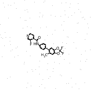 Cc1cc2c(cc1-c1ccc(NC(=O)c3ccncc3F)cc1)OC(F)(F)O2